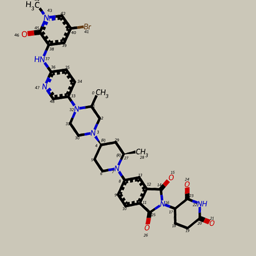 CC1CN([C@@H]2CCN(c3ccc4c(c3)C(=O)N(C3CCC(=O)NC3=O)C4=O)[C@H](C)C2)CCN1c1ccc(Nc2cc(Br)cn(C)c2=O)nc1